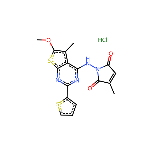 COc1sc2nc(-c3cccs3)nc(NN3C(=O)C=C(C)C3=O)c2c1C.Cl